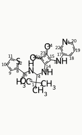 CC(C)(C)C(NC(=O)c1cccs1)Nc1c(Nc2cccnc2)c(=O)c1=O